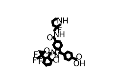 O=C(O)C1CC=C(c2nn(C(=O)c3c(Cl)cccc3C3(C(F)(F)F)CC3)c3c2CCC(C(=O)NC[C@]2(F)CCCNC2)C3)CC1